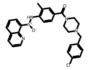 Cc1cc(C(=O)N2CCN(Cc3ccc(Cl)cc3)CC2)ccc1N[S+]([O-])c1cccc2cccnc12